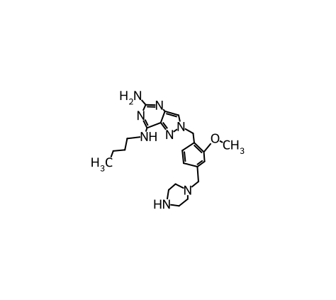 CCCCNc1nc(N)nc2cn(Cc3ccc(CN4CCNCC4)cc3OC)nc12